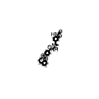 O=C(Nc1nc(-c2ccc3[nH]c(=O)oc3c2)cs1)c1ccc(S(=O)(=O)N2CCCc3ccccc32)cc1